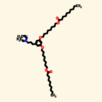 C=CN(/C=C\C)CCCc1cc(OCCCCCCCCOC(=O)CCCCCCCCC)cc(OCCCCCCCCOC(=O)CCCCCCCCC)c1